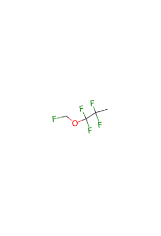 CC(F)(F)C(F)(F)OCF